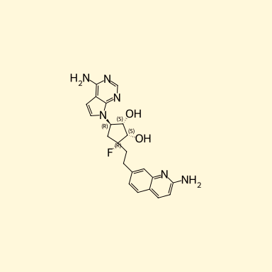 Nc1ccc2ccc(CC[C@@]3(F)C[C@@H](n4ccc5c(N)ncnc54)[C@H](O)[C@@H]3O)cc2n1